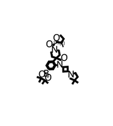 C[C@@H]1CCO[C@@H]1C(=O)N1CCC2(CC1)C(=O)N([C@H]1C[C@@H](N3CCC(C)(C)C3)C1)c1cc(B3OC(C)(C)C(C)(C)O3)ccc12